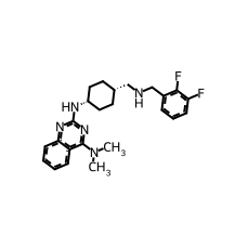 CN(C)c1nc(N[C@H]2CC[C@@H](CNCc3cccc(F)c3F)CC2)nc2ccccc12